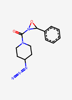 [N-]=[N+]=NC1CCN(C(=O)N2OC2c2ccccc2)CC1